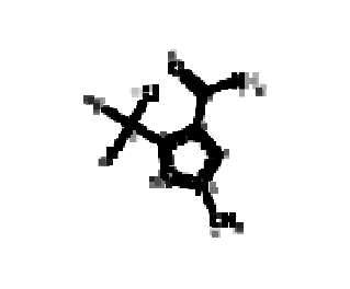 Cn1cc(C(N)=O)c(C(F)(F)Cl)n1